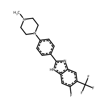 CN1CCN(c2ccc(-c3nc4cc(C(F)(F)F)c(F)cc4[nH]3)cc2)CC1